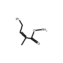 CC(=CCC(C)C)C(=O)ON